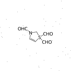 O=CN1C=CS(C=O)(C=O)C1